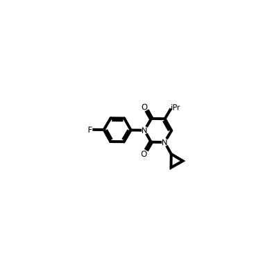 CC(C)c1cn(C2CC2)c(=O)n(-c2ccc(F)cc2)c1=O